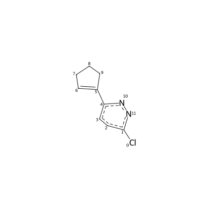 Clc1ccc(C2=CCCC2)nn1